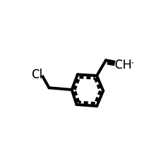 [CH]=Cc1cccc(CCl)c1